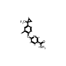 Cc1cc(C2(C(F)(F)F)CC2)ccc1Oc1ccc(C(N)=O)cn1